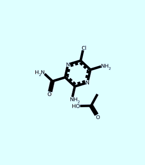 CC(=O)O.NC(=O)c1nc(Cl)c(N)nc1N